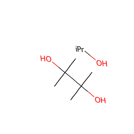 CC(C)(O)C(C)(C)O.CC(C)O